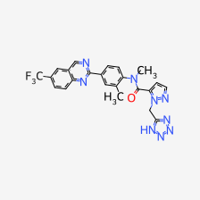 Cc1cc(-c2ncc3cc(C(F)(F)F)ccc3n2)ccc1N(C)C(=O)c1ccnn1Cc1nnn[nH]1